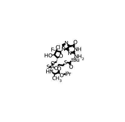 CC(C)OC(=O)[C@@H](C)N[P@@](=S)(OCCSC(=O)C(C)(C)C)OC[C@H]1O[C@@H](n2cnc3c(=O)[nH]c(N)nc32)[C@](F)(Cl)[C@@H]1O